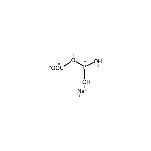 O=C([O-])OP(O)O.[Na+]